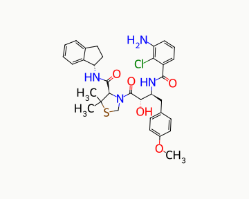 COc1ccc(C[C@H](NC(=O)c2cccc(N)c2Cl)[C@H](O)C(=O)N2CSC(C)(C)[C@H]2C(=O)N[C@H]2CCc3ccccc32)cc1